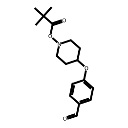 CC(C)(C)C(=O)ON1CCC(Oc2ccc(C=O)cc2)CC1